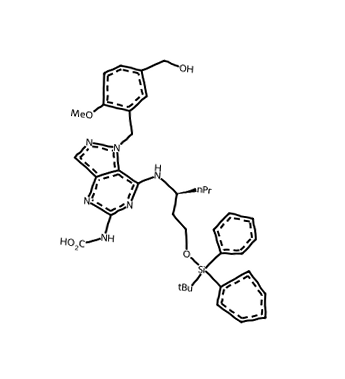 CCC[C@@H](CCO[Si](c1ccccc1)(c1ccccc1)C(C)(C)C)Nc1nc(NC(=O)O)nc2cnn(Cc3cc(CO)ccc3OC)c12